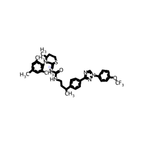 Cc1cc(C)c(N2/C(=N/C(=O)NCCC(C)c3ccc(-c4ncn(-c5ccc(OC(F)(F)F)cc5)n4)cc3)SCCC2C)c(C)c1